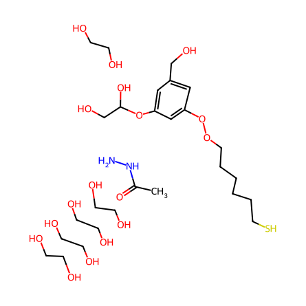 CC(=O)NN.OCCO.OCCO.OCCO.OCCO.OCCO.OCc1cc(OOCCCCCCS)cc(OC(O)CO)c1